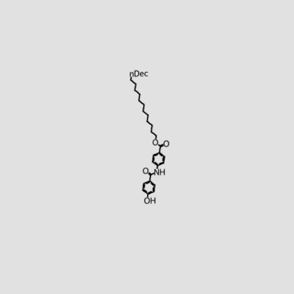 CCCCCCCCCCCCCCCCCCCCCCOC(=O)c1ccc(NC(=O)c2ccc(O)cc2)cc1